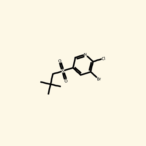 CC(C)(C)CS(=O)(=O)c1cnc(Cl)c(Br)c1